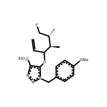 C=CC(Oc1c(C(=O)OCC)nnn1Cc1ccc(OC)cc1)[C@H](C)[C@@H](C)CF